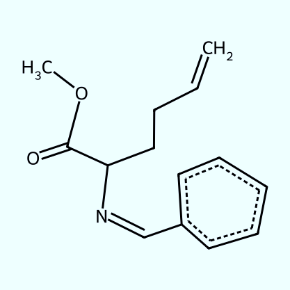 C=CCCC(/N=C\c1ccccc1)C(=O)OC